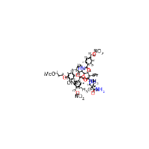 COCCCOc1cc(CC(CC(NC(=O)c2ccc(CO[N+](=O)[O-])cc2)C(CC(C(=O)NCC(C)(C)C(N)=O)C(C)C)OC(=O)c2ccc(CO[N+](=O)[O-])cc2)C(C)C)ccc1OC